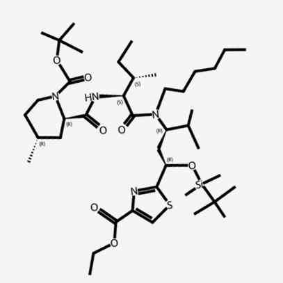 CCCCCCN(C(=O)[C@@H](NC(=O)[C@H]1C[C@H](C)CCN1C(=O)OC(C)(C)C)[C@@H](C)CC)[C@H](C[C@@H](O[Si](C)(C)C(C)(C)C)c1nc(C(=O)OCC)cs1)C(C)C